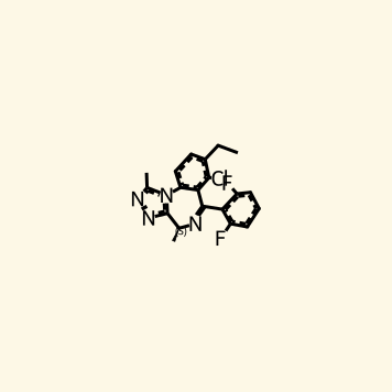 CCc1ccc2c(c1Cl)C(c1c(F)cccc1F)=N[C@@H](C)c1nnc(C)n1-2